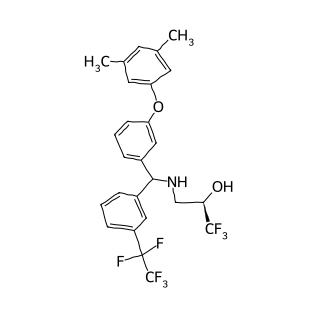 Cc1cc(C)cc(Oc2cccc(C(NC[C@@H](O)C(F)(F)F)c3cccc(C(F)(F)C(F)(F)F)c3)c2)c1